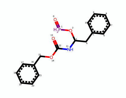 O=[PH2]OC(Cc1ccccc1)NC(=O)OCc1ccccc1